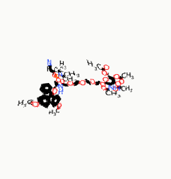 COc1ccc(C(OC[C@@H](COP(OCCC#N)N(C(C)C)C(C)C)NC(=O)COCCOCCOCCO[C@@H]2O[C@H](COC(C)=O)[C@H](OC(C)=O)[C@H](OC(C)=O)[C@H]2NC(C)=O)(c2ccccc2)c2ccc(OC)cc2)cc1